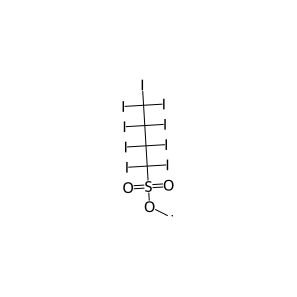 [CH2]OS(=O)(=O)C(I)(I)C(I)(I)C(I)(I)C(I)(I)I